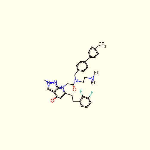 CCN(CC)CCN(Cc1ccc(-c2ccc(C(F)(F)F)cc2)cc1)C(=O)Cn1c(CCc2cccc(F)c2F)cc(=O)c2cn(C)nc21